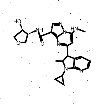 CNc1cc(C2c3cccnc3N(C3CC3)C2C)nc2c(C(=O)N[C@H]3COC[C@H]3O)cnn12